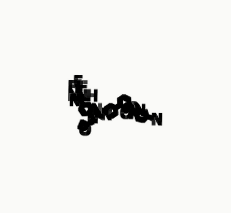 CC1(c2ccc(C#N)cn2)Oc2cccc(C3CCN(Cc4nc5cc(-c6nnc(C(F)(F)F)[nH]6)ccc5n4CC4CCO4)CC3)c2O1